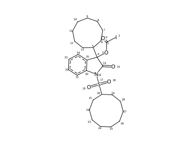 O=C(I)OC1(C2CCCCCCCC2)C(=O)N(S(=O)(=O)C2CCCCCCCCC2)c2ccccc21